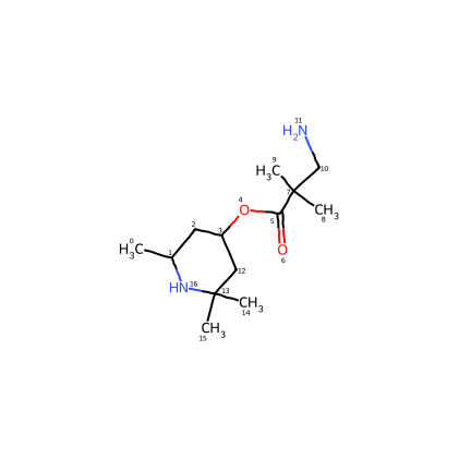 CC1CC(OC(=O)C(C)(C)CN)CC(C)(C)N1